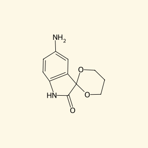 Nc1ccc2c(c1)C1(OCCCO1)C(=O)N2